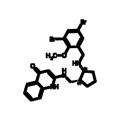 COc1c(Br)cc(Br)cc1CN[C@H]1CCC[C@@H]1CNc1cc(=O)c2ccccc2[nH]1